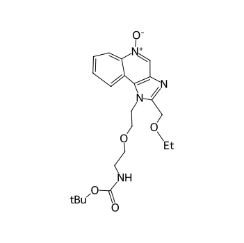 CCOCc1nc2c[n+]([O-])c3ccccc3c2n1CCOCCNC(=O)OC(C)(C)C